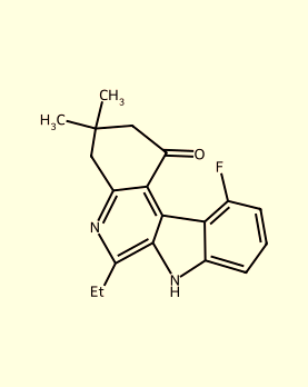 CCc1nc2c(c3c1[nH]c1cccc(F)c13)C(=O)CC(C)(C)C2